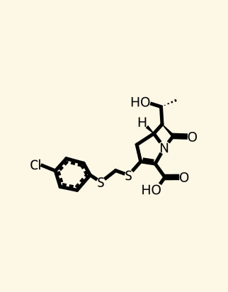 C[C@@H](O)[C@H]1C(=O)N2C(C(=O)O)=C(SCSc3ccc(Cl)cc3)C[C@H]12